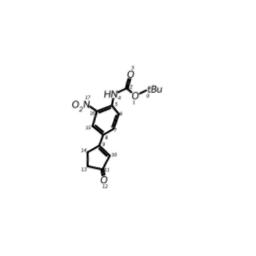 CC(C)(C)OC(=O)Nc1ccc(C2=CC(=O)CC2)cc1[N+](=O)[O-]